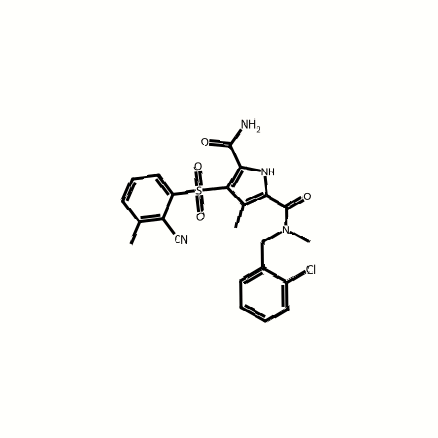 Cc1cccc(S(=O)(=O)c2c(C(N)=O)[nH]c(C(=O)N(C)Cc3ccccc3Cl)c2C)c1C#N